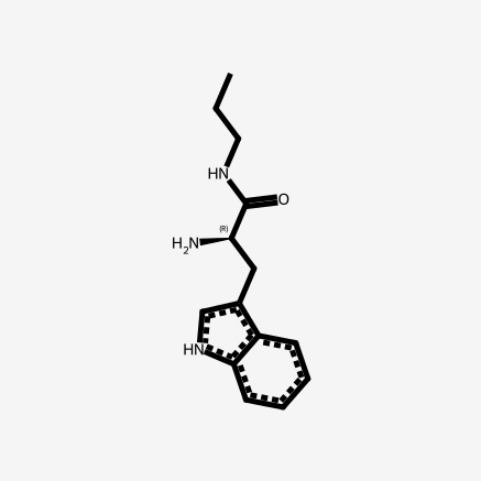 CCCNC(=O)[C@H](N)Cc1c[nH]c2ccccc12